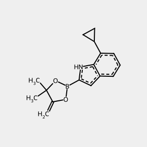 C=C1OB(c2cc3cccc(C4CC4)c3[nH]2)OC1(C)C